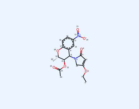 CCOC1=CC(=O)N(C2c3cc([N+](=O)[O-])ccc3O[C@@H](C)[C@@H]2OC(C)=O)C1